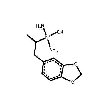 CC(Cc1ccc2c(c1)OCO2)[N+](N)(N)C#N